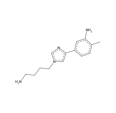 Cc1ccc(-c2cn(CCCCN)cn2)cc1N